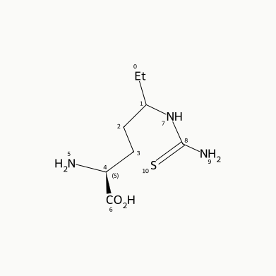 CCC(CC[C@H](N)C(=O)O)NC(N)=S